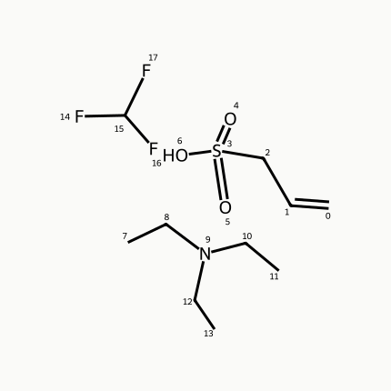 C=CCS(=O)(=O)O.CCN(CC)CC.FC(F)F